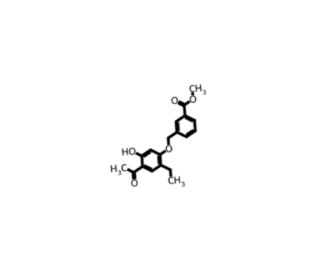 CCc1cc(C(C)=O)c(O)cc1OCc1cccc(C(=O)OC)c1